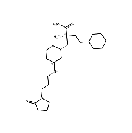 CNC(=O)[C@@](C)(CCC1CCCCC1)C[C@H]1CCC[C@H](NCCCN2CCCC2=O)C1